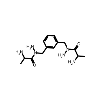 CC(N)C(=O)N(N)Cc1cccc(CN(N)C(=O)C(C)N)c1